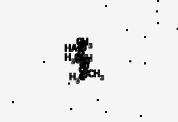 CCCc1c(OC)ccc2cc(C(=O)Nc3ccc([AsH]S(=O)(=O)CC)cc3C)c(=O)oc12